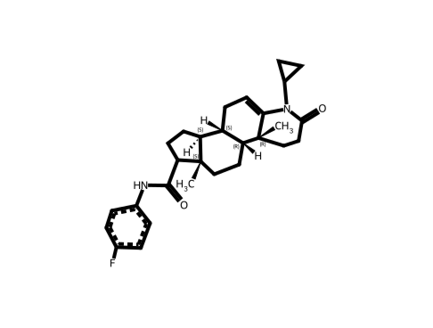 C[C@]12CCC(=O)N(C3CC3)C1=CC[C@@H]1[C@H]2CC[C@]2(C)C(C(=O)Nc3ccc(F)cc3)CC[C@@H]12